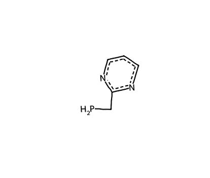 PCc1ncccn1